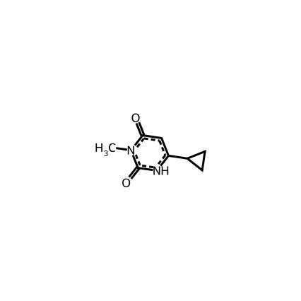 Cn1c(=O)cc(C2CC2)[nH]c1=O